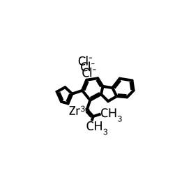 CC(C)=[C]([Zr+3])c1c(C2=CC=CC2)ccc2c1Cc1ccccc1-2.[Cl-].[Cl-].[Cl-]